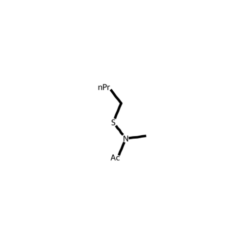 CCCCSN(C)C(C)=O